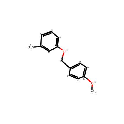 O=[N+]([O-])c1cccc(OCc2ccc(OC(F)(F)F)cc2)c1